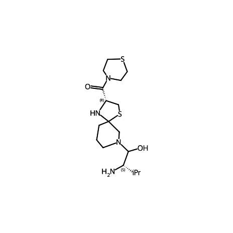 CC(C)[C@H](N)C(O)N1CCCC2(C1)N[C@H](C(=O)N1CCSCC1)CS2